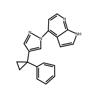 c1ccc(C2(c3cnn(-c4ccnc5[nH]ccc45)c3)CC2)cc1